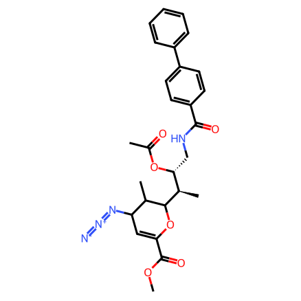 COC(=O)C1=CC(N=[N+]=[N-])C(C)C([C@H](C)[C@@H](CNC(=O)c2ccc(-c3ccccc3)cc2)OC(C)=O)O1